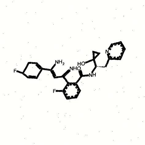 N=C(/C=C(\N)C1=CCC(F)C=C1)c1c(F)cccc1C(=O)N[C@@H](Cc1ccccn1)C1(O)CC1